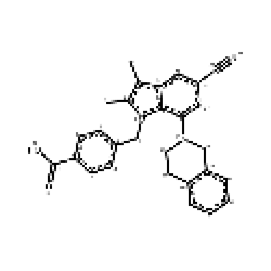 Cc1c(C)n(Cc2ccc(C(=O)O)cc2)c2c(N3CCc4ccccc4C3)nc(C#N)cc12